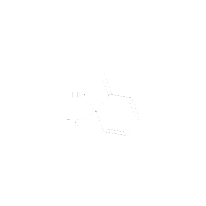 O=C1C=CC=CC1(O)C(F)(F)F